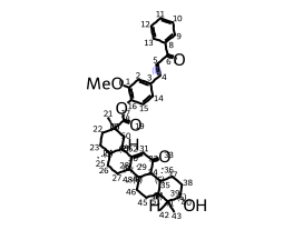 COc1cc(/C=C/C(=O)c2ccccc2)ccc1OC(=O)[C@@]1(C)CC[C@]2(C)CC[C@@]3(C)C(=CC(=O)C4[C@@]5(C)CC[C@H](O)C(C)(C)[C@@H]5CC[C@]43C)[C@@H]2C1